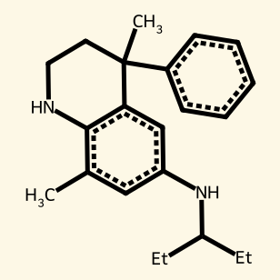 CCC(CC)Nc1cc(C)c2c(c1)C(C)(c1ccccc1)CCN2